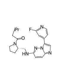 CC(C)CC(=O)N1CCC[C@H]1CNc1ccc2ncc(-c3ccnc(F)c3)n2n1